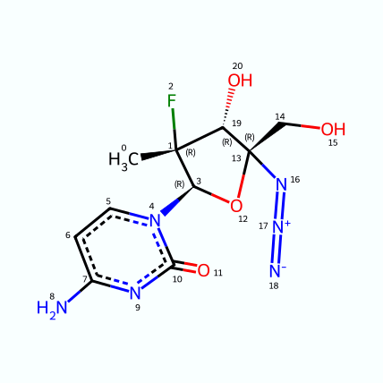 C[C@]1(F)[C@H](n2ccc(N)nc2=O)O[C@@](CO)(N=[N+]=[N-])[C@H]1O